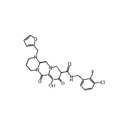 O=C(NCc1cccc(Cl)c1F)C1CN2CC3N(Cc4ccco4)CCCN3C(=O)C2=C(O)C1=O